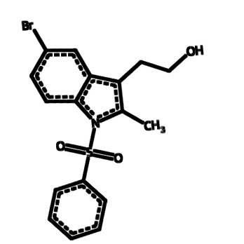 Cc1c(CCO)c2cc(Br)ccc2n1S(=O)(=O)c1ccccc1